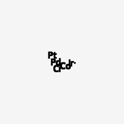 [Co].[Cr].[Ir].[Pd].[Pt]